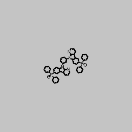 O=P(c1ccccc1)(c1ccccc1)c1ccc2c(c1)c1cccnc1n2-c1cccc(-n2c3ccc(P(=O)(c4ccccc4)c4ccccc4)cc3c3cccnc32)c1